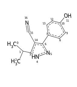 CC(C)c1[nH]nc(-c2ccc(O)cc2)c1C#N